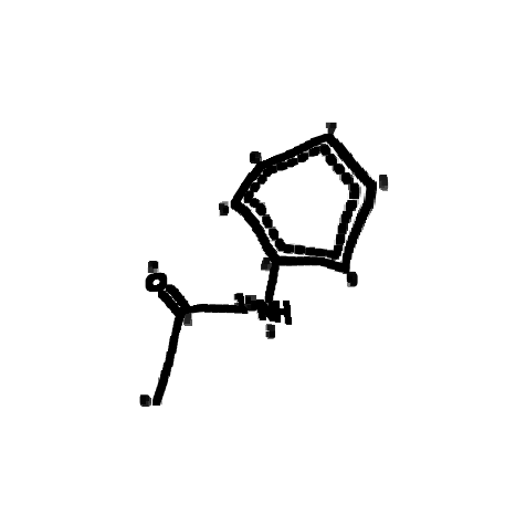 CC(=O)[15NH]c1ccccc1